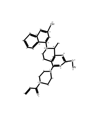 C=CC(=O)N1CCN(c2nc(OCCC)nc3c2CCN(c2cc(O)cc4ccccc24)C3C)CC1